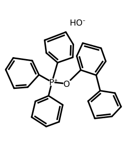 [OH-].c1ccc(-c2ccccc2O[P+](c2ccccc2)(c2ccccc2)c2ccccc2)cc1